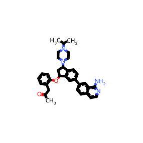 CC(=O)Cc1ccccc1OC1CC(N2CCN(C(C)C)CC2)c2ccc(-c3ccc4ccnc(N)c4c3)cc21